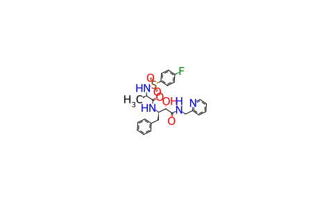 C[C@@H](NS(=O)(=O)c1ccc(F)cc1)C(=O)N[C@H](Cc1ccccc1)[C@H](O)C(=O)NCc1ccccn1